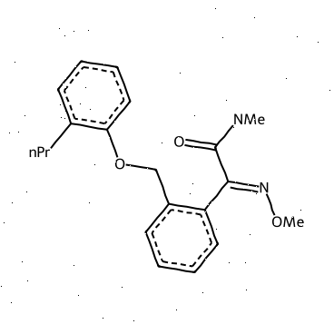 CCCc1ccccc1OCc1ccccc1/C(=N\OC)C(=O)NC